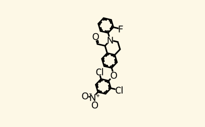 O=CC1c2ccc(Oc3c(Cl)cc([N+](=O)[O-])cc3Cl)cc2CCN1c1ccccc1F